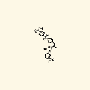 C[C@H](Cc1ccc(S(=O)(=O)c2ccc(C(=O)O)cc2)cc1)NC[C@@H](O)c1cccc(C(F)(F)F)c1